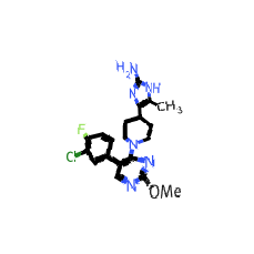 COc1ncc(-c2ccc(F)c(Cl)c2)c(N2CCC(c3nc(N)[nH]c3C)CC2)n1